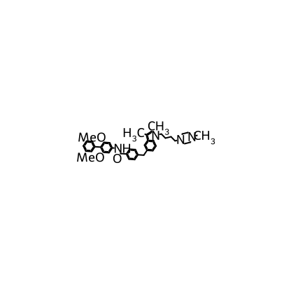 COc1cc(NC(=O)c2ccc(Cc3ccc4c(c3)c(C)c(C)n4CCCCN3CCN(C)CC3)cc2)cc(OC)c1-c1ccccc1